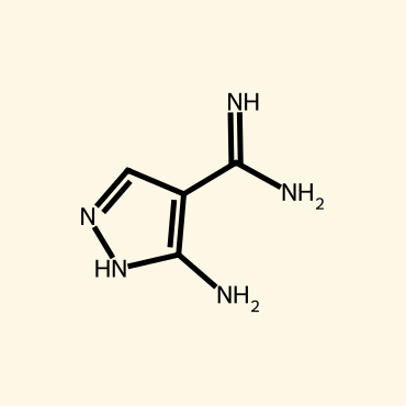 N=C(N)c1cn[nH]c1N